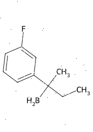 BC(C)(CC)c1cccc(F)c1